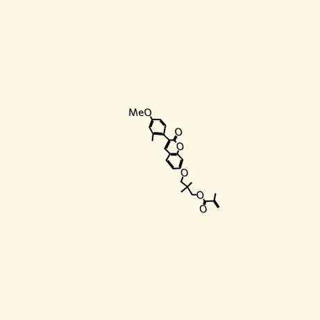 C=C(C)C(=O)OCC(C)(C)COc1ccc2cc(-c3ccc(OC)cc3C)c(=O)oc2c1